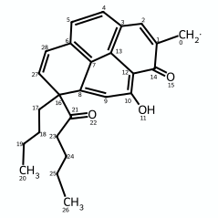 [CH2]C1=Cc2ccc3c4c(cc(O)c(c24)C1=O)C(CCCC)(C(=O)CCCC)C=C3